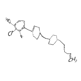 C=CCCC1CCC(C2CC=C(c3ccc(O)c(Cl)c3F)CC2)CC1